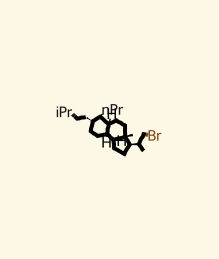 CCC[C@H]1[C@@H](CCC(C)C)CC[C@@H]2[C@@H]1CC[C@]1(C)[C@@H](C(C)CBr)CC[C@@H]21